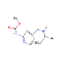 CC(C)C(C(=O)O)N(C)Cc1ccnc(NC(=O)OC(C)(C)C)c1